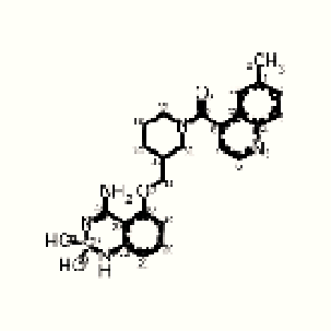 Cc1ccc2nccc(C(=O)N3CCCC(COc4cccc5c4C(N)=NS(O)(O)N5)C3)c2c1